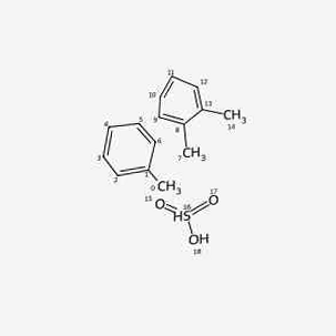 Cc1ccccc1.Cc1ccccc1C.O=[SH](=O)O